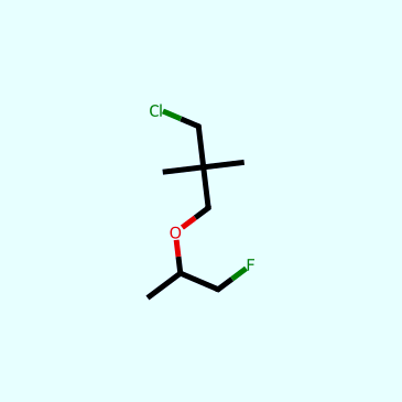 CC(CF)OCC(C)(C)CCl